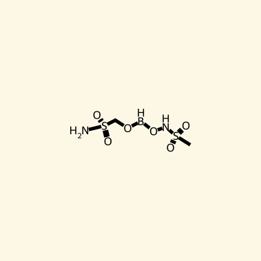 CS(=O)(=O)NOBOCS(N)(=O)=O